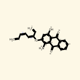 C=C/C=C\C=C(/C=C)Oc1cc(O)c2c(c1N)C(=O)c1ccccc1C2=O